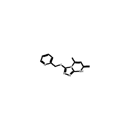 C=C1C=C(C)n2c(nnc2SCc2ccccn2)N1